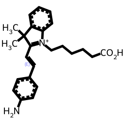 CC1(C)C(/C=C/c2ccc(N)cc2)=[N+](CCCCCC(=O)O)c2ccccc21